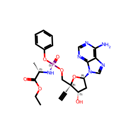 C#C[C@]1(CO[P@@](=O)(N[C@@H](C)C(=O)OCC)Oc2ccccc2)O[C@@H](n2cnc3c(N)ncnc32)C[C@@H]1O